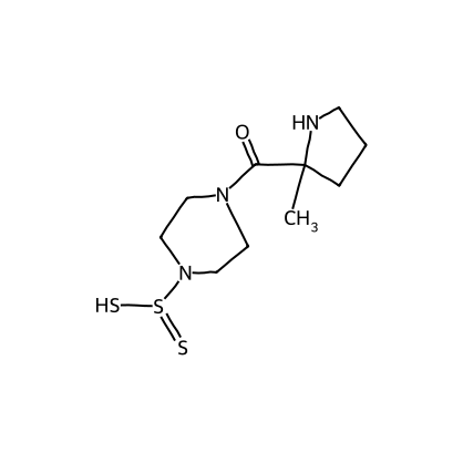 CC1(C(=O)N2CCN(S(=S)S)CC2)CCCN1